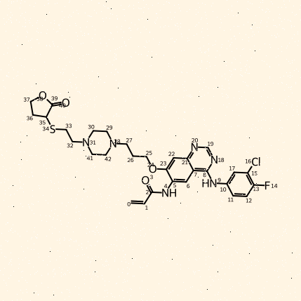 C=CC(=O)Nc1cc2c(Nc3ccc(F)c(Cl)c3)ncnc2cc1OCCCN1CCN(CCSC2CCOC2=O)CC1